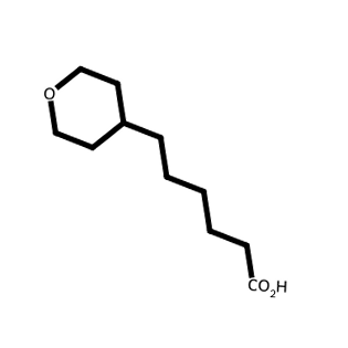 O=C(O)CCCCCC1CCOCC1